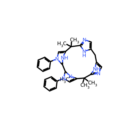 CN1C2=CN(c3ccccc3)C1C1NC(=CN1c1ccccc1)C(C)(C)c1ncc([nH]1)Cc1cnc([nH]1)C2(C)C